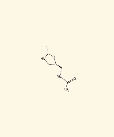 C[C@H]1NC[C@H](CNC(=O)C(F)(F)F)O1